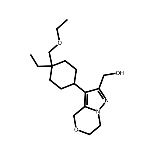 CCOCC1(CC)CCC(c2c(CO)nn3c2COCC3)CC1